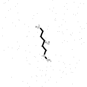 CCCCCCOC.O